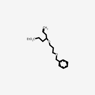 C=CCC(CCC(=O)OCC)OCCCOCc1ccccc1